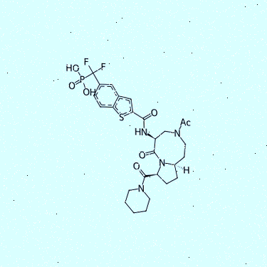 CC(=O)N1CC[C@H]2CC[C@@H](C(=O)N3CCCCC3)N2C(=O)[C@@H](NC(=O)c2cc3cc(C(F)(F)P(=O)(O)O)ccc3s2)C1